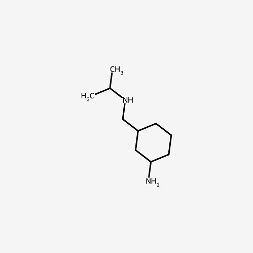 CC(C)NCC1CCCC(N)C1